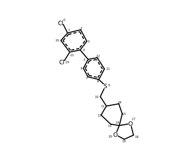 Clc1ccc(-c2ccc(SCC3CCC4(CC3)OCCO4)cc2)c(Cl)c1